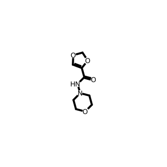 O=C(NN1CCOCC1)C1=COCO1